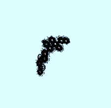 c1ccc2cc(-c3c4ccccc4c(-c4ccc(-c5ccc6c(ccc7c6oc6ccc8c9ccccc9oc8c67)c5)c5ccccc45)c4ccccc34)ccc2c1